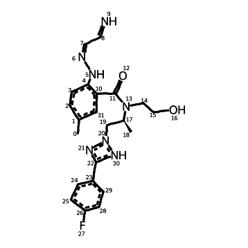 Cc1ccc(N/N=C\C=N)c(C(=O)N(CCO)[C@@H](C)Cn2nc(-c3ccc(F)cc3)[nH]2)c1